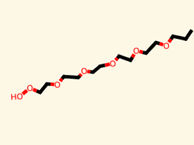 CCCOCCOCCOCCOCCOCCOO